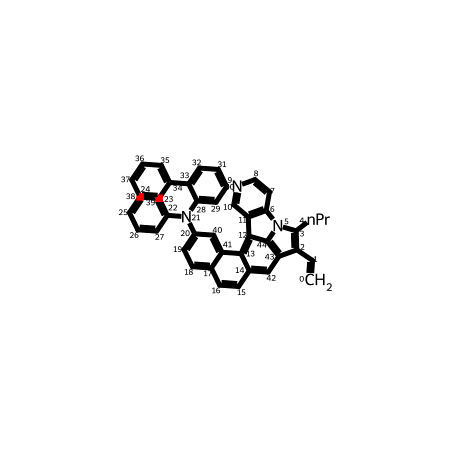 C=Cc1c(CCC)n2c3ccncc3c3c4c(ccc5ccc(N(c6ccccc6)c6ccccc6-c6ccccc6)cc54)cc1c32